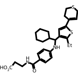 CCc1sc(C2=CCSCC2)cc1C(Nc1ccc(C(=O)NCCC(=O)O)cc1)C1CCCCC1